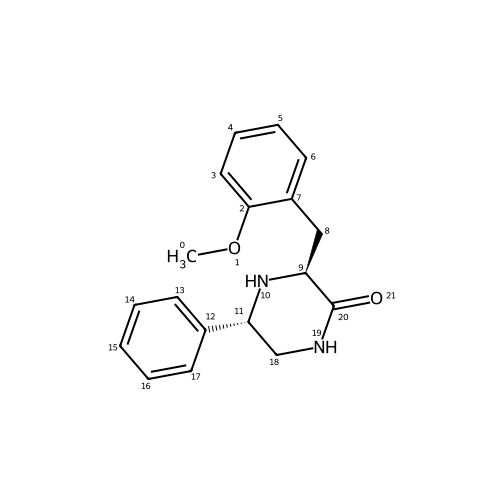 COc1ccccc1C[C@@H]1N[C@@H](c2ccccc2)CNC1=O